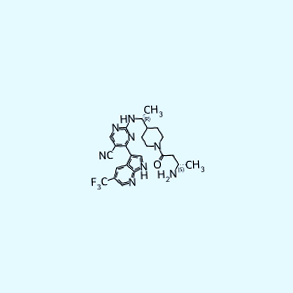 C[C@H](N)CC(=O)N1CCC([C@@H](C)Nc2ncc(C#N)c(-c3c[nH]c4ncc(C(F)(F)F)cc34)n2)CC1